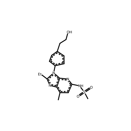 CCc1nc2c(C)cc(NS(C)(=O)=O)nc2n1-c1ccc(CCO)cc1